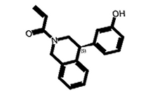 C=CC(=O)N1Cc2ccccc2[C@H](c2cccc(O)c2)C1